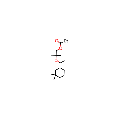 CCC(=O)OCC(C)(C)OC(C)[C@@H]1CCCC(C)(C)C1